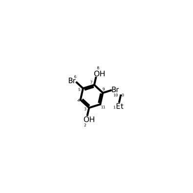 CCC.Oc1cc(Br)c(O)c(Br)c1